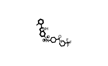 Cc1ccccc1-c1cc2ccc(S(=O)(=O)NC3CCC(C(=O)N4CCCC(C(F)(F)F)C4)CC3)cc2[nH]1